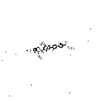 CCOC(=O)c1ccc(-c2ccc(-c3cc4nc(C(=O)N5CCc6cc(C)sc6C5C)cc(CC)n4n3)c(F)c2)nc1